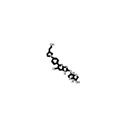 OCCC1CCN(c2ccc(-c3nc4nc(O[C@@H]5CO[C@H]6[C@@H]5OC[C@H]6O)[nH]c4cc3Cl)cc2)C1